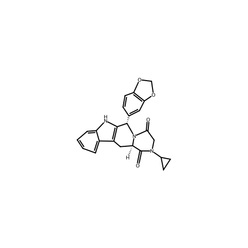 O=C1[C@H]2Cc3c([nH]c4ccccc34)[C@H](c3ccc4c(c3)OCO4)N2C(=O)CN1C1CC1